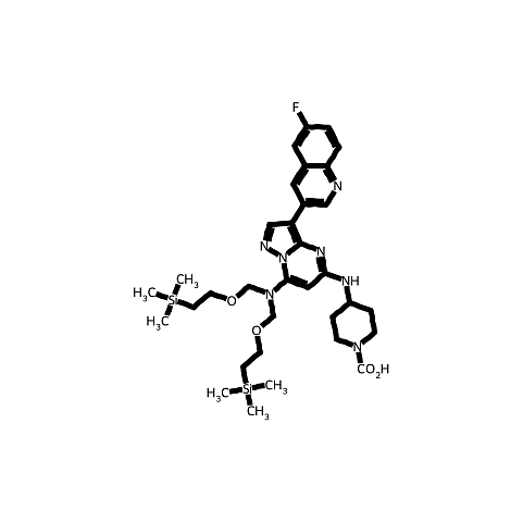 C[Si](C)(C)CCOCN(COCC[Si](C)(C)C)c1cc(NC2CCN(C(=O)O)CC2)nc2c(-c3cnc4ccc(F)cc4c3)cnn12